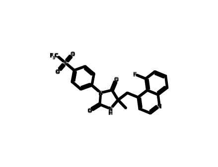 CC1(Cc2ccnc3cccc(F)c23)NC(=O)N(c2ccc(S(=O)(=O)C(F)(F)F)cc2)C1=O